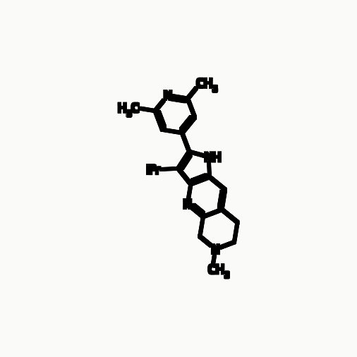 Cc1cc(-c2[nH]c3cc4c(nc3c2C(C)C)CN(C)CC4)cc(C)n1